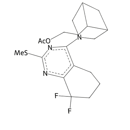 CSc1nc(N2CC3CC(C2)C3CCOC(C)=O)c2c(n1)C(F)(F)CCC2